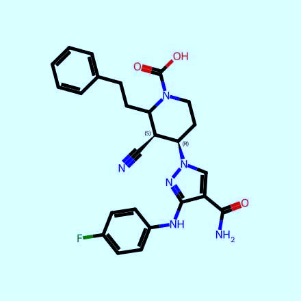 N#C[C@H]1C(CCc2ccccc2)N(C(=O)O)CC[C@H]1n1cc(C(N)=O)c(Nc2ccc(F)cc2)n1